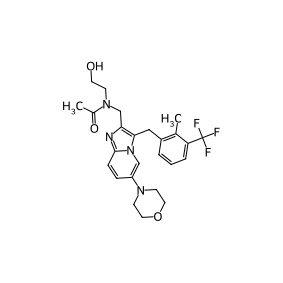 CC(=O)N(CCO)Cc1nc2ccc(N3CCOCC3)cn2c1Cc1cccc(C(F)(F)F)c1C